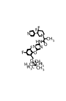 CC(C(=O)Nc1cnc(Oc2c(F)cc(F)cc2CO[Si](C)(C)C(C)(C)C)cn1)N1CCC(F)(F)[C@@H](c2ccncc2)C1